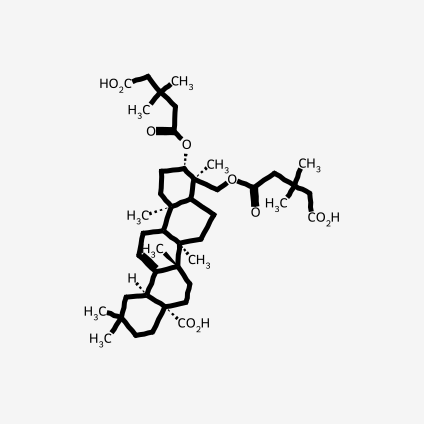 CC(C)(CC(=O)O)CC(=O)OC[C@@]1(C)C2CC[C@]3(C)C(CC=C4[C@@H]5CC(C)(C)CC[C@]5(C(=O)O)CC[C@]43C)[C@@]2(C)CC[C@@H]1OC(=O)CC(C)(C)CC(=O)O